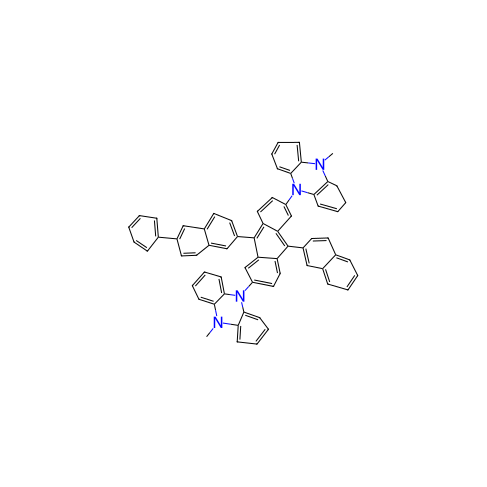 CN1C2=C(C=CCC2)N(c2ccc3c(-c4ccc5cc(-c6ccccc6)ccc5c4)c4cc(N5c6ccccc6N(C)c6ccccc65)ccc4c(-c4ccc5ccccc5c4)c3c2)c2ccccc21